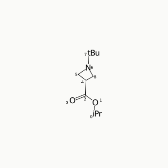 CC(C)OC(=O)C1CN(C(C)(C)C)C1